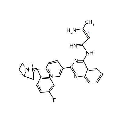 C/C(N)=C/C(=N)Nc1nc(-c2ccc(N3CC4CC(C3)N4Cc3ccc(F)cc3)nc2)nc2ccccc12